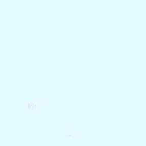 C=C(C)c1ccc2cc(O)c(O)cc2c1